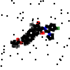 CC(C)C1=C2[C@H]3CC[C@@H]4[C@@]5(C)CC[C@H](OC(=O)CC(C)(C)C(=O)O)C(C)(C)[C@@H]5CC[C@@]4(C)[C@]3(C)CC[C@@]2([C@@H](O)CN(CCN2CCCC2)Cc2ccc(Cl)cc2)CC1=O